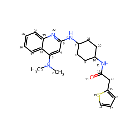 CN(C)c1cc(NC2CCC(NC(=O)Cc3cccs3)CC2)nc2ccccc12